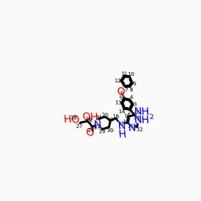 NC1(c2ccc(Oc3ccccc3)cc2)C=C(NCC2CCN(C(=O)C(O)CO)CC2)N=CN1